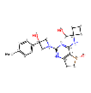 COc1ccc(C2(O)CN(c3nc4c(c(NC5(CO)CCC5)n3)[S@+]([O-])CC4)C2)cc1